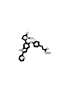 COC(=O)CCc1ccc(Oc2cc3cc(-c4ccccn4)[nH]c3cc2C2CCC(=O)N2C)cc1